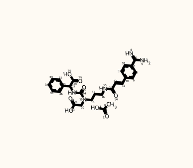 CC(=O)O.N=C(N)c1ccc(C=CC(=O)NCCCN(CC(=O)O)C(=O)NC(C(=O)O)c2ccccc2)cc1